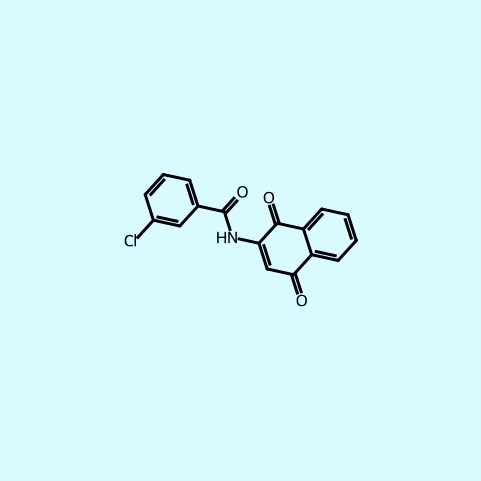 O=C(NC1=CC(=O)c2ccccc2C1=O)c1cccc(Cl)c1